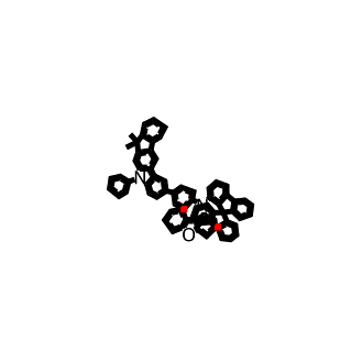 CC1(C)c2ccccc2-c2cc3c4cc(-c5ccc(N(c6cccc7c6C6(c8ccccc8-c8ccccc86)c6ccccc6-7)c6cccc7oc8ccccc8c67)cc5)ccc4n(-c4ccccc4)c3cc21